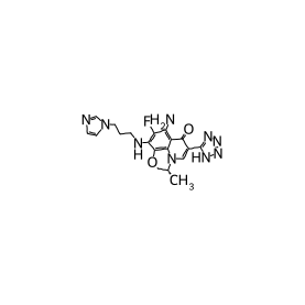 C[C@H]1COc2c(NCCCn3ccnc3)c(F)c(N)c3c(=O)c(-c4nnn[nH]4)cn1c23